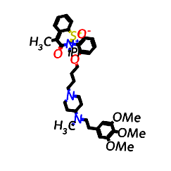 COc1cc(CCN(C)C2CCN(CCCCOc3ccccc3[N+]3(C(C)C)C(=O)C(C)=C4C=CC=CC4[S+]3[O-])CC2)cc(OC)c1OC